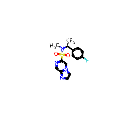 CN([C@H](c1ccc(F)cc1)C(F)(F)F)S(=O)(=O)c1cn2ccnc2cn1